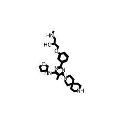 CNCC(O)COc1cccc(-c2nc(N[C@@H]3CCOC3)c(C)c(N3CCC4(CCNCC4)CC3)n2)c1